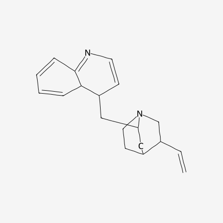 C=CC1CN2CCC1CC2CC1C=CN=C2C=CC=CC21